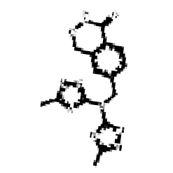 Cc1noc(N(Cc2ccc3c(c2)CONC3=O)c2nc(C)ns2)n1